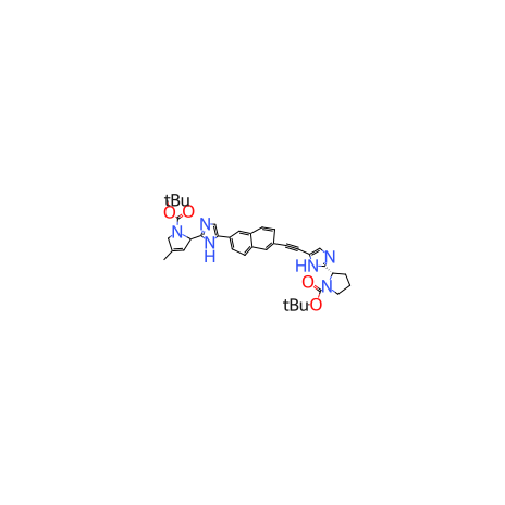 CC1=CC(c2ncc(-c3ccc4cc(C#Cc5cnc([C@@H]6CCCN6C(=O)OC(C)(C)C)[nH]5)ccc4c3)[nH]2)N(C(=O)OC(C)(C)C)C1